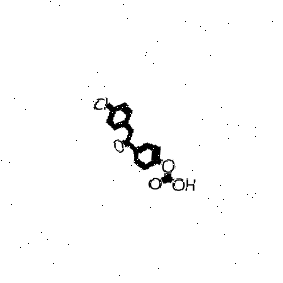 O=C(O)Oc1ccc(C(=O)Cc2ccc(Cl)cc2)cc1